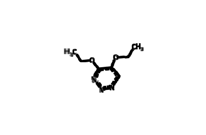 CCOc1cnnnc1OCC